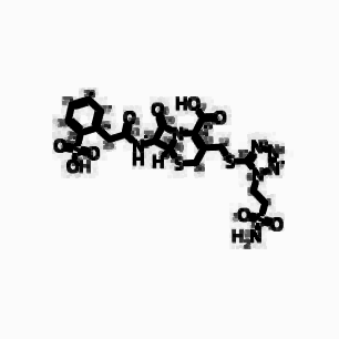 NS(=O)(=O)CCn1nnnc1SCC1=C(C(=O)O)N2C(=O)C(NC(=O)Cc3ccccc3S(=O)(=O)O)[C@H]2SC1